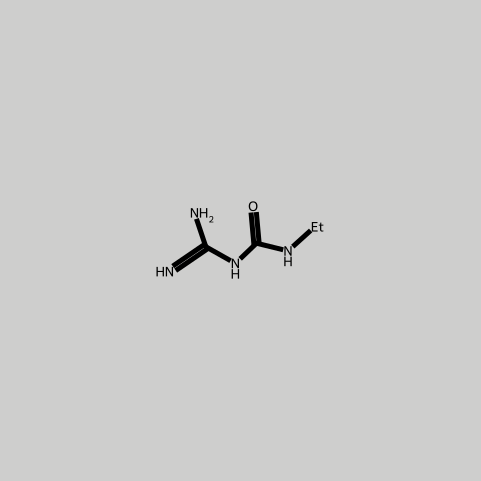 CCNC(=O)NC(=N)N